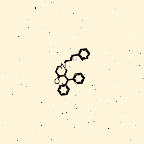 O=C1CCN(C/C=C/c2ccccc2)CC1C(c1ccccc1)c1ccccc1